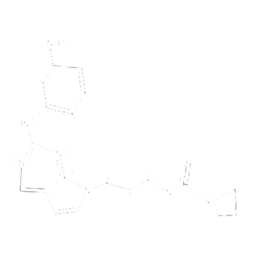 CC(=O)Nc1cccc(Nc2ncc3ccn(CCCNC(=O)C4CCC4)c3n2)c1